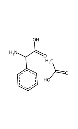 CC(=O)O.NC(C(=O)O)c1ccccc1